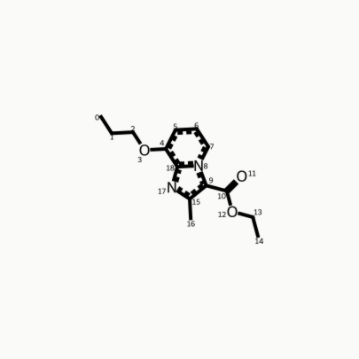 CCCOc1cccn2c(C(=O)OCC)c(C)nc12